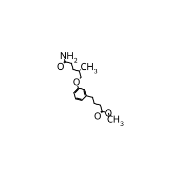 COC(=O)CCCc1cccc(OC[C@@H](C)CCC(N)=O)c1